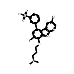 CCS(=O)(=O)c1cccc(-c2cc(F)c(OCCCN(C)C)c3[nH]c4ncc(Cl)cc4c23)c1